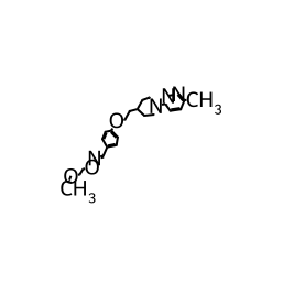 COCCON=Cc1ccc(OCCC2CCN(c3ccc(C)nn3)CC2)cc1